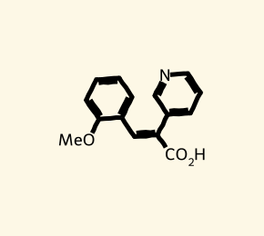 COc1ccccc1/C=C(/C(=O)O)c1cccnc1